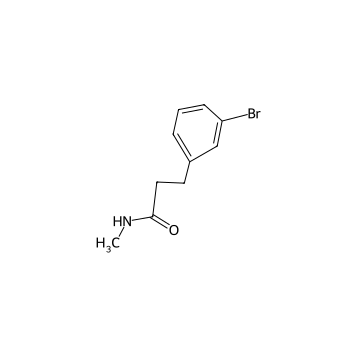 CNC(=O)CCc1cccc(Br)c1